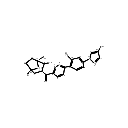 C=C(c1ccc(-c2ccc(-n3cc(F)cn3)cc2O)nn1)[C@H]1C[C@]2(C)CC[C@@](C)(N2)[C@H]1F